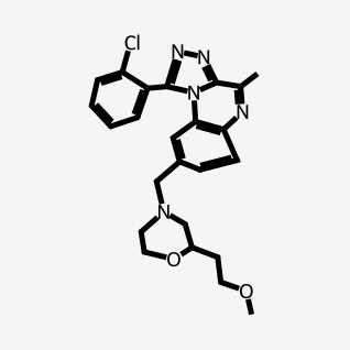 COCCC1CN(Cc2ccc3nc(C)c4nnc(-c5ccccc5Cl)n4c3c2)CCO1